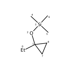 CCC1(O[Si](C)(C)C)CC1